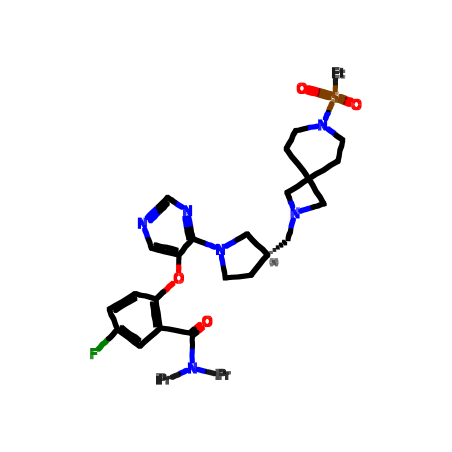 CCS(=O)(=O)N1CCC2(CC1)CN(C[C@@H]1CCN(c3ncncc3Oc3ccc(F)cc3C(=O)N(C(C)C)C(C)C)C1)C2